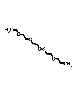 C=CCOCCSOCCOCCOC=C